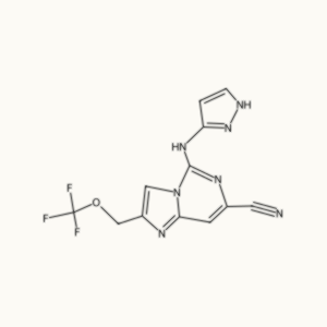 N#Cc1cc2nc(COC(F)(F)F)cn2c(Nc2cc[nH]n2)n1